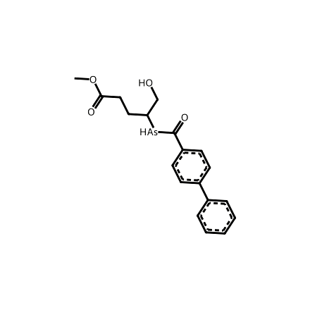 COC(=O)CCC(CO)[AsH]C(=O)c1ccc(-c2ccccc2)cc1